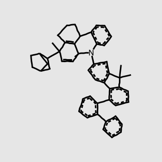 CC1(C)c2cc(N3c4ccccc4C4CCCC5=C4C3(C)C=CC5(C)C3CC4CCC3C4)ccc2-c2c(-c3ccccc3-c3ccccc3)cccc21